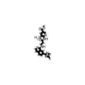 COC(=O)c1cnc(NC(=O)CCNc2nccc3ccc(-c4noc(C)n4)cc23)c(N)c1